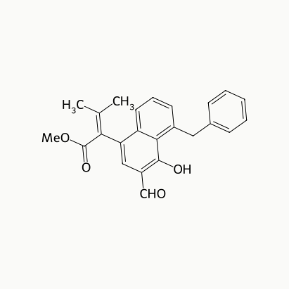 COC(=O)C(=C(C)C)c1cc(C=O)c(O)c2c(Cc3ccccc3)cccc12